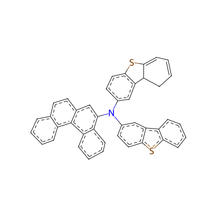 C1=CCC2C(=C1)Sc1ccc(N(c3ccc4sc5ccccc5c4c3)c3cc4ccc5ccccc5c4c4ccccc34)cc12